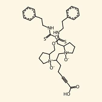 O=C(O)C#CCCC(C[N+]1([O-])CCCC1COC(=S)NCCc1ccccc1)[N+]1([O-])CCCC1COC(=S)NCCc1ccccc1